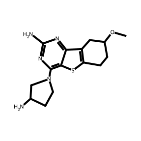 COC1CCc2sc3c(N4CCC(N)C4)nc(N)nc3c2C1